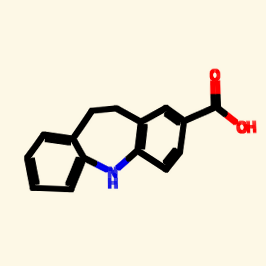 O=C(O)c1ccc2c(c1)CCc1ccccc1N2